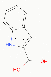 OC(O)c1cc2ccccc2[nH]1